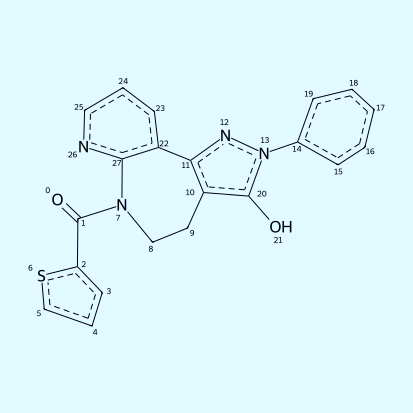 O=C(c1cccs1)N1CCc2c(nn(-c3ccccc3)c2O)-c2cccnc21